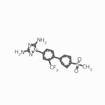 CS(=O)(=O)c1ccc(-c2ccc(-n3nc(N)nc3N)cc2C(F)(F)F)cc1